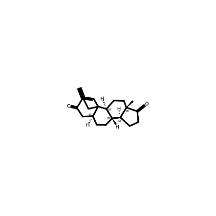 C#CCC12C=CC(=O)C[C@@H]1CC[C@@H]1[C@@H]2CC[C@]2(C)C(=O)CC[C@@H]12